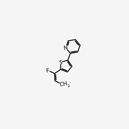 [CH2]/C=C(/F)c1ccc(-c2ccccn2)s1